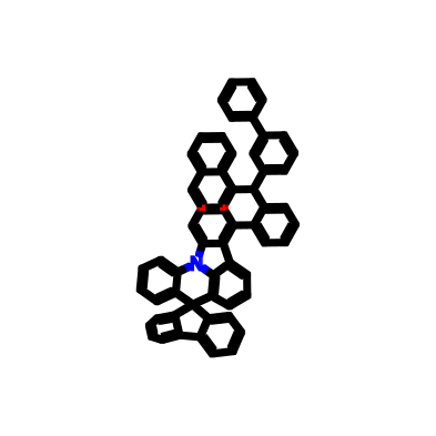 c1ccc(-c2cccc(C(c3ccccc3-c3cccc4c3c3cccc5c3n4-c3ccccc3C53c4ccccc4-c4ccccc43)c3cccc4ccccc34)c2)cc1